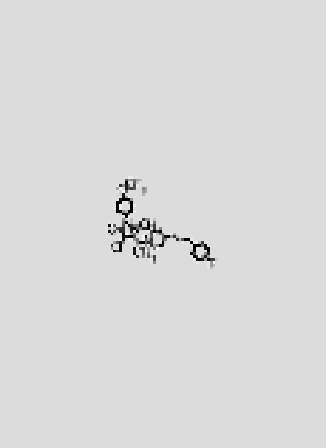 CC(c1c(Cl)c(=O)n(-c2ccc(OC(F)(F)F)cc2)n1C)N1CCC(CCCc2ccc(F)cc2)CC1